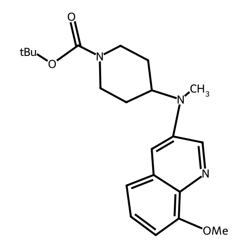 COc1cccc2cc(N(C)C3CCN(C(=O)OC(C)(C)C)CC3)cnc12